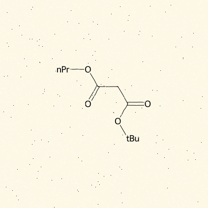 CCCOC(=O)CC(=O)OC(C)(C)C